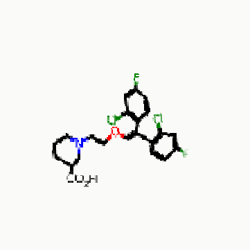 O=C(O)C1CCCN(CCOC=C(c2ccc(F)cc2Cl)c2ccc(F)cc2Cl)C1